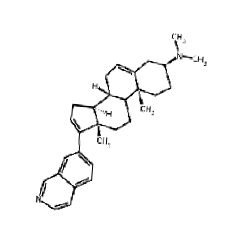 CN(C)[C@H]1CC[C@@]2(C)C(=CC[C@@H]3C2CC[C@]2(C)C(c4ccc5ccncc5c4)=CC[C@@H]32)C1